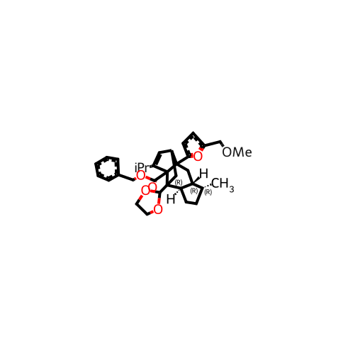 COCc1ccc(C23C[C@@H]4[C@H](C)CC[C@H]4C4(C5OCCO5)CC2C=C(C(C)C)C34C(=O)OCc2ccccc2)o1